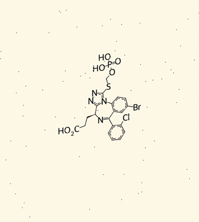 O=C(O)CC[C@@H]1N=C(c2ccccc2Cl)c2cc(Br)ccc2-n2c(SCOP(=O)(O)O)nnc21